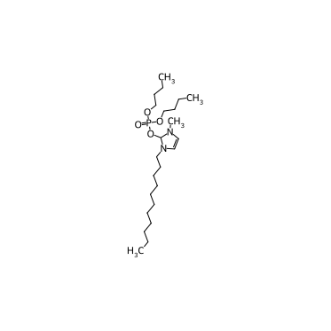 CCCCCCCCCCCN1C=CN(C)C1OP(=O)(OCCCC)OCCCC